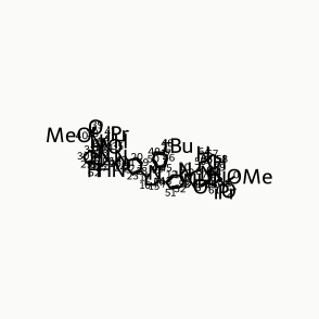 COC(=O)N[C@H](C(=O)N1C(c2nc3cc([C@H]4CCC(c5ccc6c(c5)NC([C@@H]5C[C@@H]7CCC[C@@H]7N5C(=O)[C@@H](NC(=O)OC)C(C)C)N6)N4c4ccc(C(C)(C)C)cc4)ccc3[nH]2)C[C@@H]2CCC[C@@H]21)C(C)C